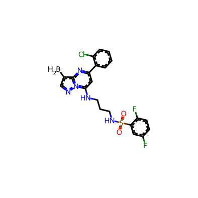 Bc1cnn2c(NCCCNS(=O)(=O)c3cc(F)ccc3F)cc(-c3ccccc3Cl)nc12